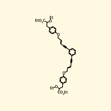 CCOC(=O)C(Cc1ccc(OCC=CC#Cc2cccc(C#CC=CCOc3ccc(CC(OCC)C(=O)OCC)cc3)c2)cc1)OCC